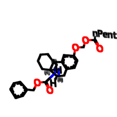 CCCCCC(=O)OCOc1ccc2c(c1)[C@@]13CCCC[C@H]1[C@@H](C2)N(C(=O)OCc1ccccc1)CC3